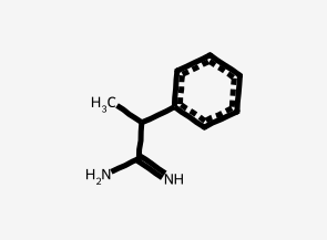 C[C](C(=N)N)c1ccccc1